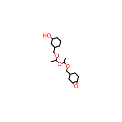 CC(OCC1CCCC(O)C1)OC(C)OCC1CCC2OC2C1